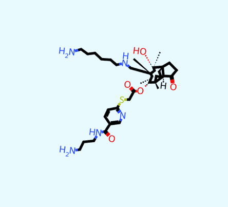 C[C@@H]1CC[C@@]23CCC(=O)[C@H]2[C@]1(C)[C@H](OC(=O)CSc1ccc(C(=O)NCCCN)cn1)C[C@](C)(CNCCCCCCN)[C@@H](O)[C@@H]3C